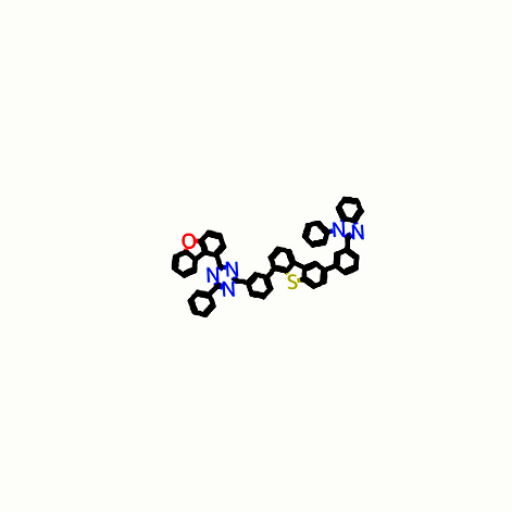 C1=CC2Oc3cccc(-c4nc(-c5ccccc5)nc(-c5cccc(-c6cccc7c6sc6ccc(-c8cccc(-c9nc%10ccccc%10n9-c9ccccc9)c8)cc67)c5)n4)c3C2C=C1